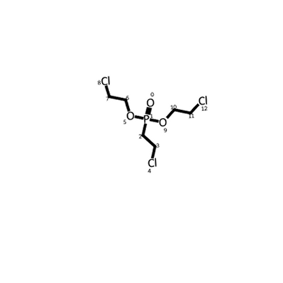 O=P(CCCl)(OCCCl)OCCCl